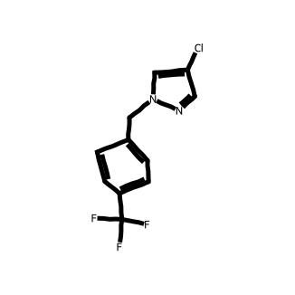 FC(F)(F)c1ccc(Cn2cc(Cl)cn2)cc1